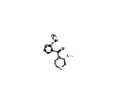 CNn1cccc1C(=N)N1CCOC[C@H]1C